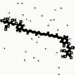 CC1=C(/C=C/C(C)=C/C=C/C(C)=C/C=C/C=C(C)/C=C/C=C(C)/C=C/C2=C(C)C(=O)C(OCC(O)C(OC=O)/C(O)=C/O)CC2(C)C)C(C)(C)CC(OCC(O)C2OC(=O)C(O)=C2O)C1=O